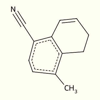 Cc1ccc(C#N)c2c1CCC=C2